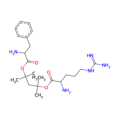 CC(C)(CC(C)(C)OC(=O)C(N)Cc1ccccc1)OC(=O)C(N)CCCNC(=N)N